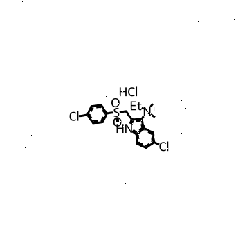 CC[N+](C)(C)c1c(CS(=O)(=O)c2ccc(Cl)cc2)[nH]c2ccc(Cl)cc12.Cl